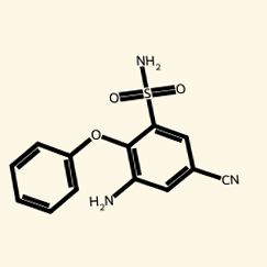 N#Cc1cc(N)c(Oc2ccccc2)c(S(N)(=O)=O)c1